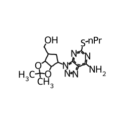 CCCSc1nc(N)c2nnn(C3CC(CO)C4OC(C)(C)OC43)c2n1